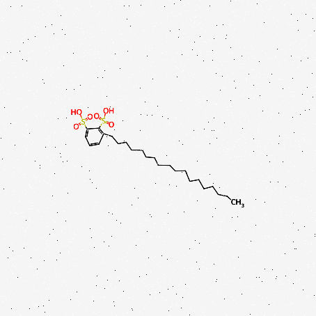 CCCCCCCCCCCCCCCCCCc1cccc(S(=O)(=O)O)c1S(=O)(=O)O